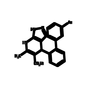 CCOC(=O)C1=C(C)Nc2[nH]ncc2C1c1ccccc1-c1cccc(C(C)=O)c1